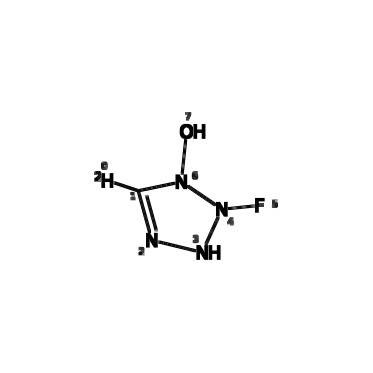 [2H]C1=NNN(F)N1O